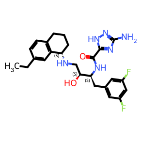 CCc1ccc2c(c1)[C@@H](NC[C@H](O)[C@H](Cc1cc(F)cc(F)c1)NC(=O)c1nc(N)n[nH]1)CCC2